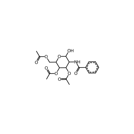 CC(=O)OCC1OC(O)C(NC(=O)c2ccccc2)C(OC(C)=O)C1OC(C)=O